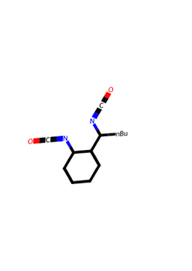 CCCCC(N=C=O)C1CCCCC1N=C=O